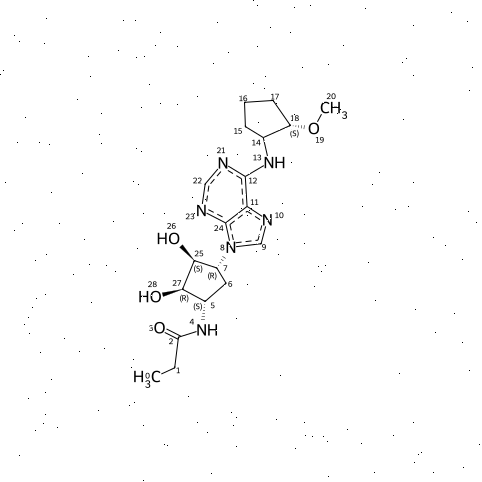 CCC(=O)N[C@H]1C[C@@H](n2cnc3c(NC4CCC[C@@H]4OC)ncnc32)[C@H](O)[C@@H]1O